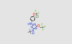 CC(C)(C)Nc1nc(Nc2ccc(OC(F)(F)Cl)cc2)nc(OCC(F)(F)F)n1